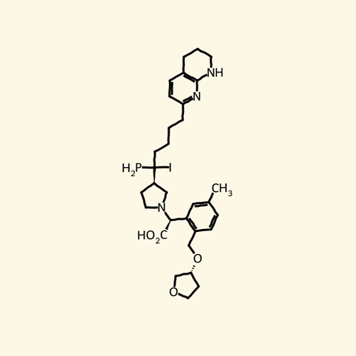 Cc1ccc(CO[C@@H]2CCOC2)c([C@@H](C(=O)O)N2CC[C@@H](C(P)(I)CCCCc3ccc4c(n3)NCCC4)C2)c1